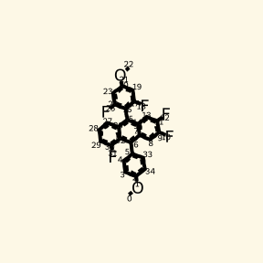 COc1ccc(-c2c3cc(F)c(F)cc3c(-c3c(F)cc(OC)cc3F)c3cccc(F)c23)cc1